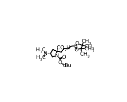 CN(C)[C@H]1CN(C(=O)OC(C)(C)C)[C@](CCCCB2OC(C)(C)C(C)(C)O2)(C(=O)O)C1